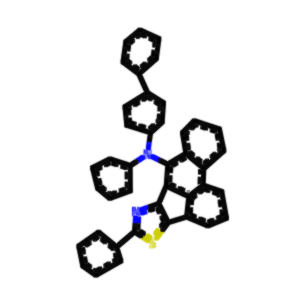 c1ccc(-c2ccc(N(c3ccccc3)c3c4c5c(cccc5c5ccccc35)-c3sc(-c5ccccc5)nc3-4)cc2)cc1